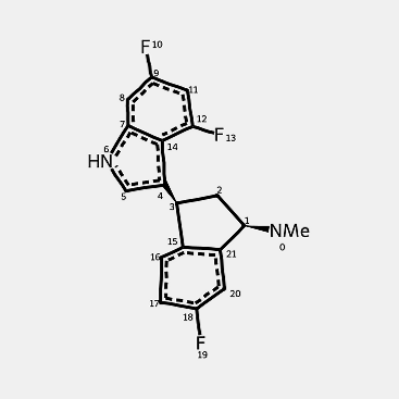 CN[C@@H]1C[C@H](c2c[nH]c3cc(F)cc(F)c23)c2ccc(F)cc21